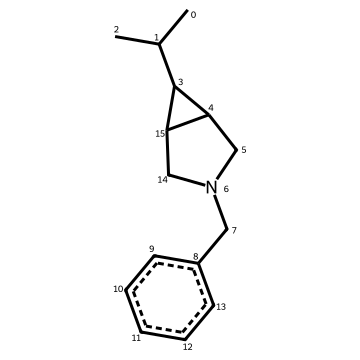 CC(C)C1C2CN(Cc3ccccc3)CC21